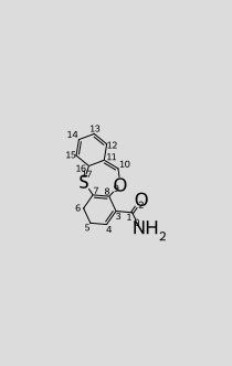 NC(=O)C1=CCCC2=C1OC=C1C=CC=CC1S2